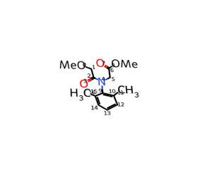 COCC(=O)N(CC(=O)OC)c1c(C)cccc1C